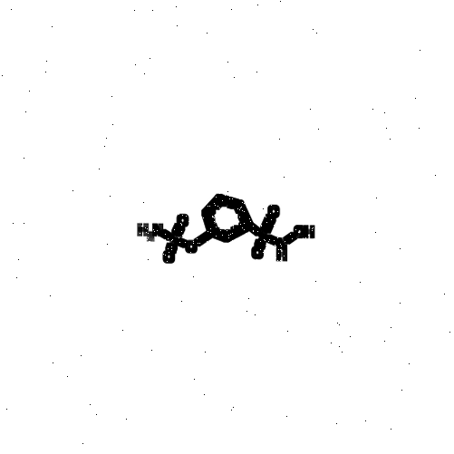 NS(=O)(=O)Oc1cccc(S(=O)(=O)NO)c1